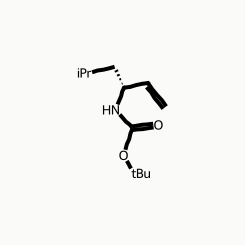 C=C[C@@H](CC(C)C)NC(=O)OC(C)(C)C